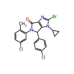 Cc1ccc(Cl)cc1N1C(=O)c2nc(Br)n(C3CC3)c2C1c1ccc(Cl)cc1